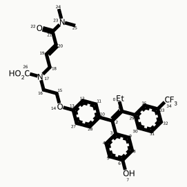 CCC(=C(c1ccc(O)cc1)c1ccc(OCCN(CC=CC(=O)N(C)C)C(=O)O)cc1)c1cccc(C(F)(F)F)c1